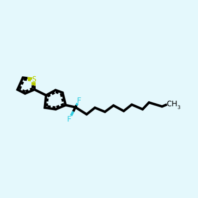 CCCCCCCCCCC(F)(F)c1ccc(-c2cccs2)cc1